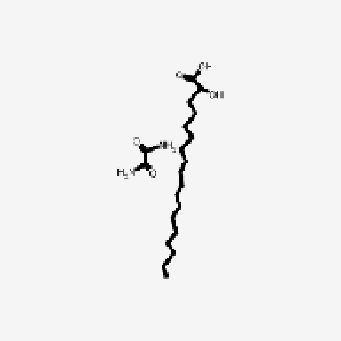 CCCCCCCCCCCCCCCCC(O)C(=O)O.NC(=O)C(N)=O